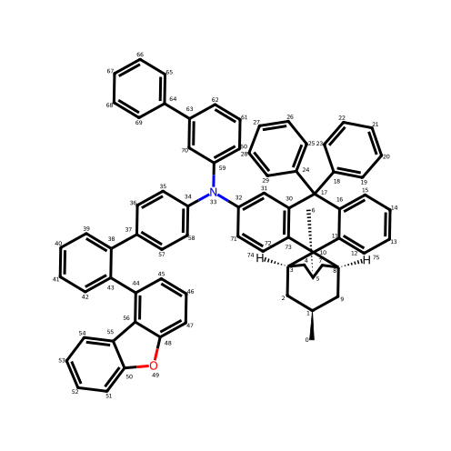 C[C@H]1C[C@@H]2C[C@@H](C)C[C@H](C1)C21c2ccccc2C(c2ccccc2)(c2ccccc2)c2cc(N(c3ccc(-c4ccccc4-c4cccc5oc6ccccc6c45)cc3)c3cccc(-c4ccccc4)c3)ccc21